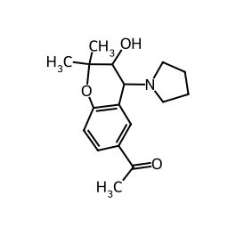 CC(=O)c1ccc2c(c1)C(N1CCCC1)C(O)C(C)(C)O2